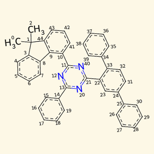 CC1(C)c2ccccc2-c2c(-c3nc(-c4ccccc4)nc(-c4cc(-c5ccccc5)ccc4-c4ccccc4)n3)cccc21